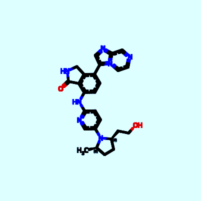 C[C@@H]1CC[C@H](CCO)N1c1ccc(Nc2ccc(-c3cnc4cnccn34)c3c2C(=O)NC3)nc1